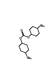 CC(C)(C)C1CCC(OC(=O)OC2CCC(C(C)(C)C)CC2)CC1